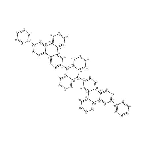 c1ccc(-c2ccc3c4ccc(N5c6ccccc6N(c6ccc7c8ccc(-c9ccccc9)cc8c8ccccc8c7c6)c6ccccc65)cc4c4ccccc4c3c2)cc1